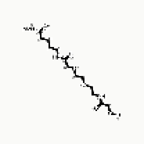 CCOCC(=O)NCCOCCOCC(=O)NCCCC[C@H](NC)C(C)=O